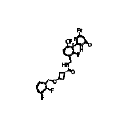 CCc1cc(=O)[nH]c(-c2c(C(F)(F)F)ccc(CNC(=O)[C@H]3C[C@H](OCc4cccc(F)c4F)C3)c2F)n1